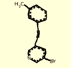 Cc1cccc(C#Cc2cncc(Br)c2)c1